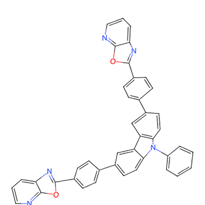 c1ccc(-n2c3ccc(-c4ccc(-c5nc6cccnc6o5)cc4)cc3c3cc(-c4ccc(-c5nc6cccnc6o5)cc4)ccc32)cc1